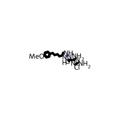 COc1ccc(CCCCC2CN/C(=N/C(=O)c3nc(Cl)c(N)nc3N)N2)cc1